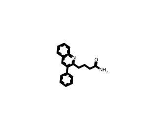 NC(=O)CCCc1nc2ccccc2cc1-c1ccccc1